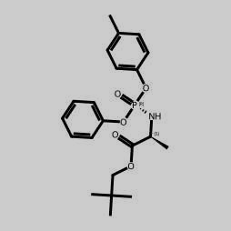 Cc1ccc(O[P@@](=O)(N[C@@H](C)C(=O)OCC(C)(C)C)Oc2ccccc2)cc1